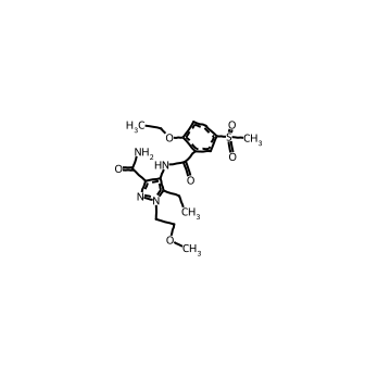 CCOc1ccc(S(C)(=O)=O)cc1C(=O)Nc1c(C(N)=O)nn(CCOC)c1CC